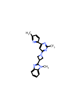 Cc1ccc(-c2cc(N3CC(c4nc5ccccc5n4C)C3)nc(C(F)(F)F)n2)nc1